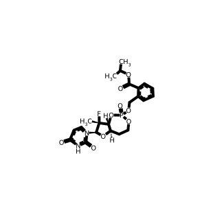 CC(C)OC(=O)c1ccccc1COP1(=O)OCC[C@H]2O[C@@H](n3ccc(=O)[nH]c3=O)[C@](C)(F)[C@@H]2O1